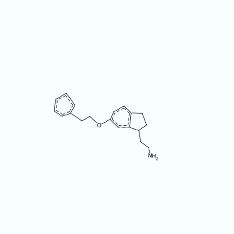 NCCC1CCc2ccc(OCCc3ccccc3)cc21